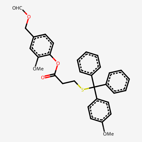 COc1ccc(C(SCCC(=O)Oc2ccc(COC=O)cc2OC)(c2ccccc2)c2ccccc2)cc1